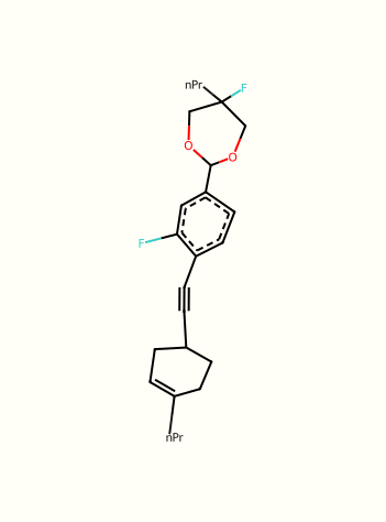 CCCC1=CCC(C#Cc2ccc(C3OCC(F)(CCC)CO3)cc2F)CC1